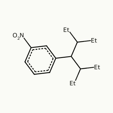 CCC(CC)C(c1cccc([N+](=O)[O-])c1)C(CC)CC